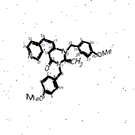 C=C1N(Cc2ccc(OC)cc2)C(=O)C=C(/C=C\c2ccncc2)N1Cc1ccc(OC)cc1